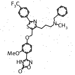 COc1cc(OCc2sc(-c3ccc(C(F)(F)F)cc3)nc2CCCN(C)Cc2ccccc2)ccc1-c1noc(=O)[nH]1